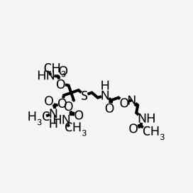 CNC(=O)OCC(COC(=O)NC)(COC(=O)NC)CSCCNC(=O)CO/N=C\CNC(C)=O